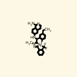 CCc1ccc(F)c(C(Nc2ccc3c(N)nccc3c2)c2nc(-c3ccccc3C(F)(F)F)nn2C)c1